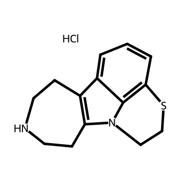 Cl.c1cc2c3c(c1)c1c(n3CCS2)CCNCC1